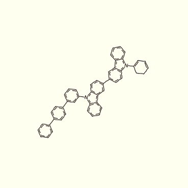 C1=CCCC(n2c3ccccc3c3cc(-c4ccc5c(c4)c4ccccc4n5-c4cccc(-c5ccc(-c6ccccc6)cc5)c4)ccc32)=C1